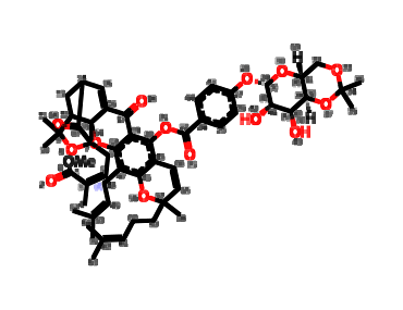 COC(=O)/C(C)=C\CC12OC(C)(C)C3CC(C=C4C(=O)c5c(OC(=O)c6ccc(O[C@@H]7O[C@@H]8COC(C)(C)O[C@H]8[C@@H](O)[C@H]7O)cc6)c6c(c(CC=C(C)C)c5OC431)OC(C)(CCC=C(C)C)C=C6)C2=O